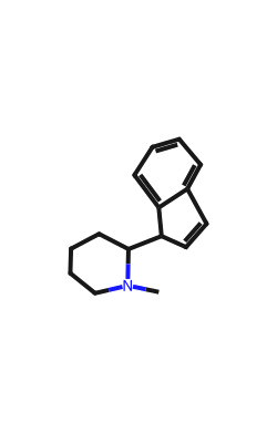 CN1CCCCC1C1C=Cc2ccccc21